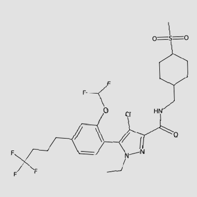 CCn1nc(C(=O)NCC2CCC(S(C)(=O)=O)CC2)c(Cl)c1-c1ccc(CCCC(F)(F)F)cc1OC(F)F